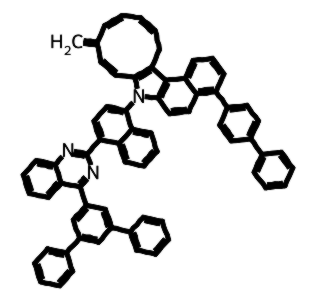 C=C1/C=C\C=C/Cc2c(n(-c3ccc(-c4nc(-c5cc(-c6ccccc6)cc(-c6ccccc6)c5)c5ccccc5n4)c4ccccc34)c3ccc4c(-c5ccc(-c6ccccc6)cc5)cccc4c23)/C=C\1